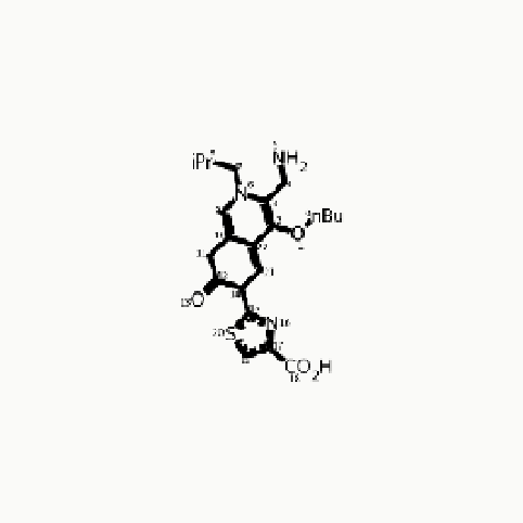 CCCCOC1=C(CN)N(CC(C)C)C=C2CC(=O)C(c3nc(C(=O)O)cs3)C=C21